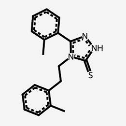 Cc1ccccc1CCn1c(-c2ccccc2C)n[nH]c1=S